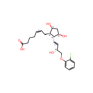 O=C(O)CCC/C=C\C[C@@H]1[C@@H](/C=C/[C@@H](O)COc2ccccc2F)[C@H](O)C[C@@H]1O